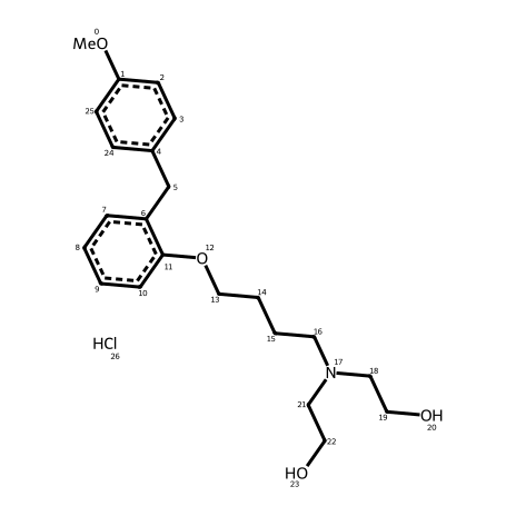 COc1ccc(Cc2ccccc2OCCCCN(CCO)CCO)cc1.Cl